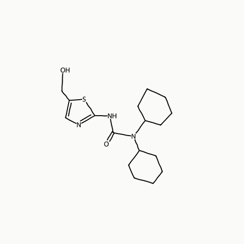 O=C(Nc1ncc(CO)s1)N(C1CCCCC1)C1CCCCC1